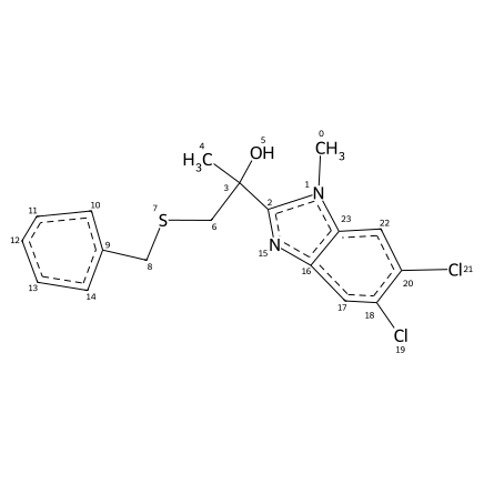 Cn1c(C(C)(O)CSCc2ccccc2)nc2cc(Cl)c(Cl)cc21